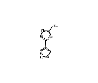 CCC(C)c1ncc(-c2ccoc2)o1